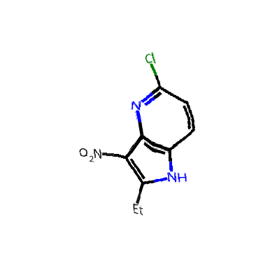 CCc1[nH]c2ccc(Cl)nc2c1[N+](=O)[O-]